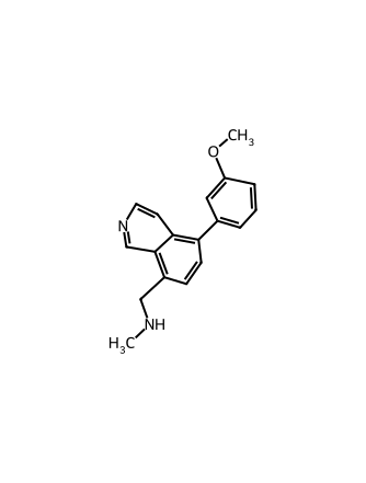 CNCc1ccc(-c2cccc(OC)c2)c2ccncc12